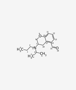 CCCN(C(C)C)C1COc2cccc(C=O)c2C1